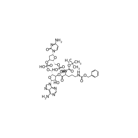 CC(C)(C)OC(=O)NC(CCCNC(=O)OCc1ccccc1)C(=O)O[C@H]1[C@@H](O)[C@H](n2cnc3c(N)ncnc32)O[C@@H]1COP(=O)(O)O[C@H]1C[C@H](n2ccc(N)nc2=O)O[C@@H]1COP(=O)(O)O